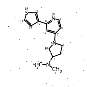 CN(C)C1CCN(c2ccnc(-c3ccsc3)c2)C1